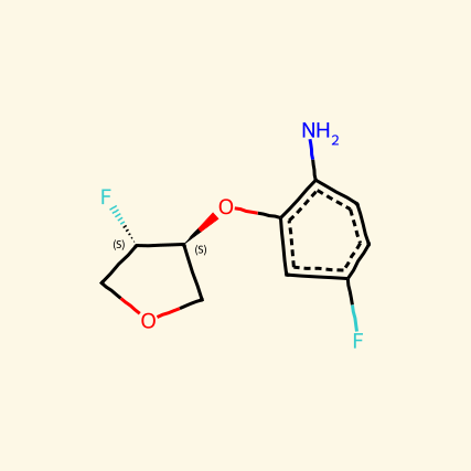 Nc1ccc(F)cc1O[C@H]1COC[C@@H]1F